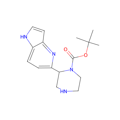 CC(C)(C)OC(=O)N1CCNCC1c1ccc2[nH]ccc2n1